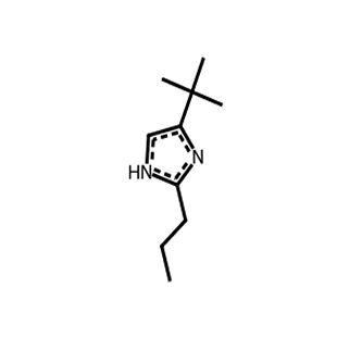 CCCc1nc(C(C)(C)C)c[nH]1